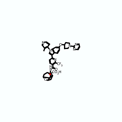 Cc1cnccc1-n1cc(-c2ccc(C(=O)NC3(C(=O)O)C4CCC5CC(C4)CC3C5)c(C(F)(F)F)n2)c2ccc(OC3CCN(c4ncccn4)CC3)cc21